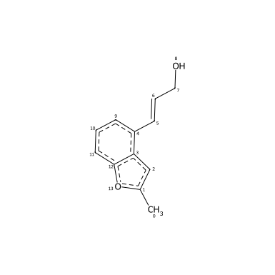 Cc1cc2c(/C=C/CO)cccc2o1